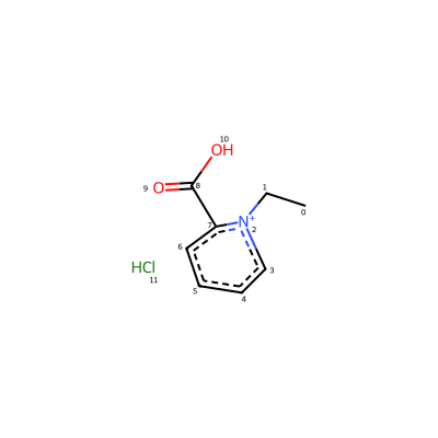 CC[n+]1ccccc1C(=O)O.Cl